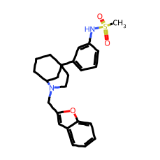 CS(=O)(=O)Nc1cccc(C23CCCC(C2)N(Cc2cc4ccccc4o2)CC3)c1